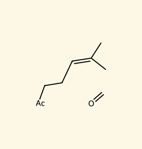 C=O.CC(=O)CCC=C(C)C